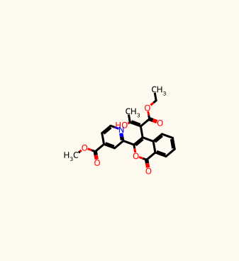 CCOC(=O)/C(=C(\C)O)c1c(-c2cc(C(=O)OC)ccn2)oc(=O)c2ccccc12